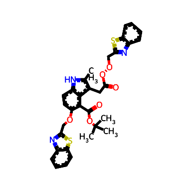 Cc1[nH]c2ccc(OCc3nc4ccccc4s3)c(C(=O)OC(C)(C)C)c2c1CC(=O)OOCc1nc2ccccc2s1